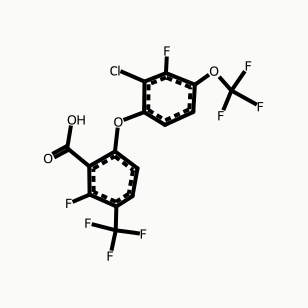 O=C(O)c1c(Oc2ccc(OC(F)(F)F)c(F)c2Cl)ccc(C(F)(F)F)c1F